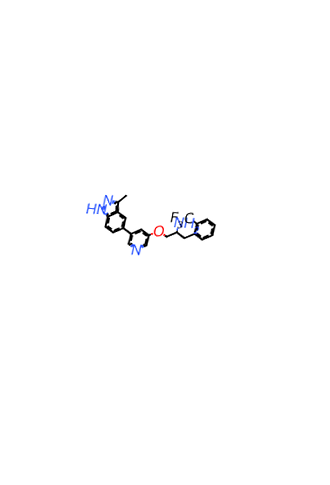 Cc1n[nH]c2ccc(-c3cncc(OC[C@@H](N)Cc4ccccc4C(F)(F)F)c3)cc12